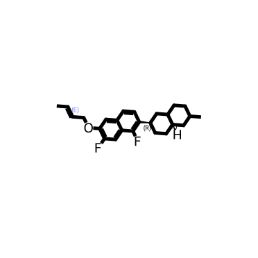 C/C=C/COc1cc2ccc([C@@H]3CC[C@@H]4CC(C)CCC4C3)c(F)c2cc1F